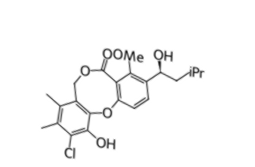 COc1c([C@@H](O)CC(C)C)ccc2c1C(=O)OCc1c(C)c(C)c(Cl)c(O)c1O2